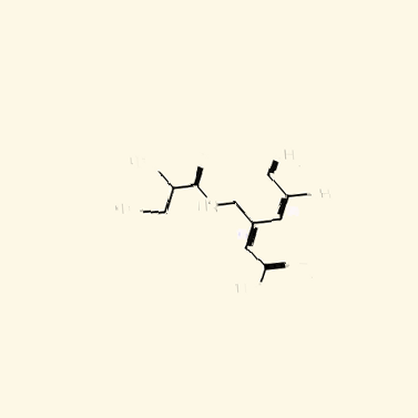 C=C/C(C)=C\C(=C/C(=C)C)CNC(=O)C(CC(C)(C)C)C(C)(C)C